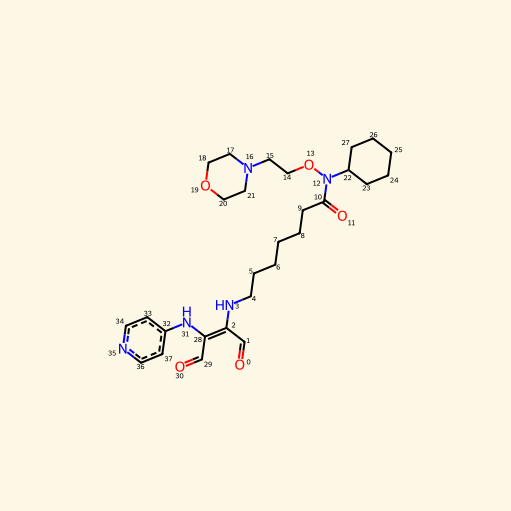 O=C/C(NCCCCCCC(=O)N(OCCN1CCOCC1)C1CCCCC1)=C(\C=O)Nc1ccncc1